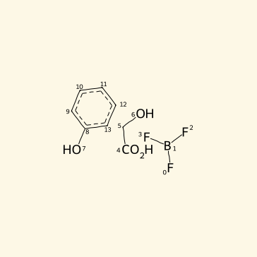 FB(F)F.O=C(O)CO.Oc1ccccc1